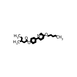 CCCCCOc1ccc(-c2ccc(OC(=O)CC(C)CC)cc2)nc1